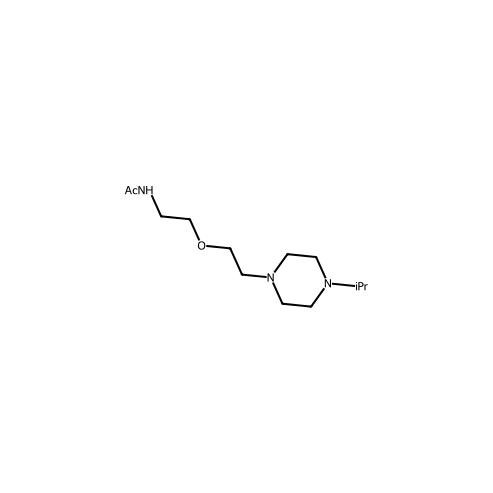 CC(=O)NCCOCCN1CCN(C(C)C)CC1